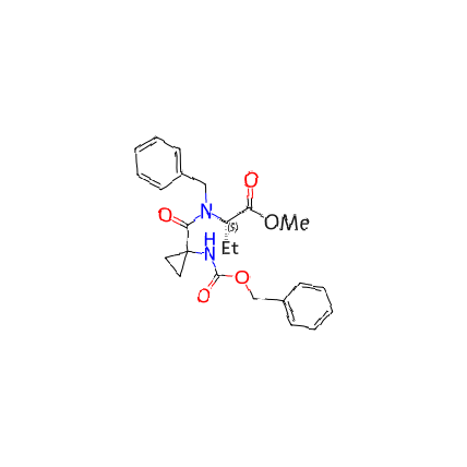 CC[C@@H](C(=O)OC)N(Cc1ccccc1)C(=O)C1(NC(=O)OCc2ccccc2)CC1